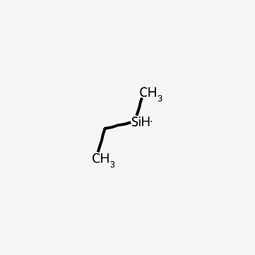 CC[SiH]C